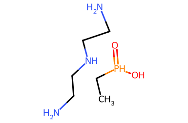 CC[PH](=O)O.NCCNCCN